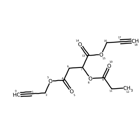 C#CCOC(=O)CC(OC(=O)CC)C(=O)OCC#C